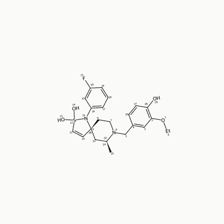 CCOc1cc(CN2CC[C@]3(C=CS(O)(O)N3c3cccc(F)c3)C[C@@H]2C)ccc1O